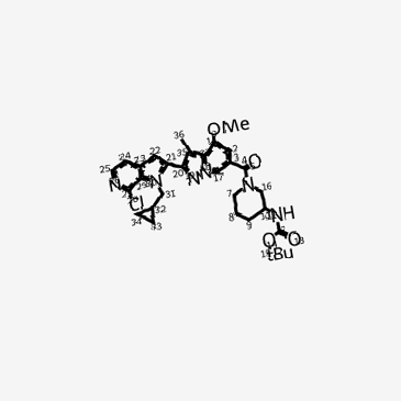 COc1cc(C(=O)N2CCCC(NC(=O)OC(C)(C)C)C2)cn2nc(-c3cc4ccnc(Cl)c4n3CC3CC3)c(C)c12